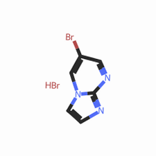 Br.Brc1cnc2nccn2c1